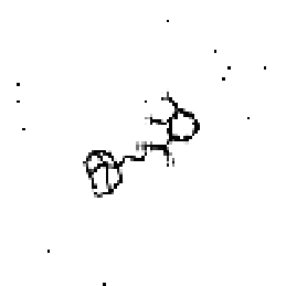 O=C(NCCC12CC3CC(CC(C3)C1)C2)c1cccc(Cl)c1Cl